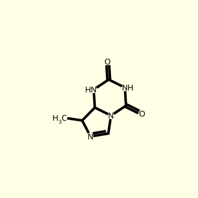 CC1N=CN2C(=O)NC(=O)NC12